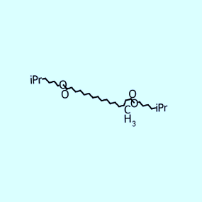 CC(C)CCCCOC(=O)CCCCCCCCCCCCC(C)CC(=O)OCCCCC(C)C